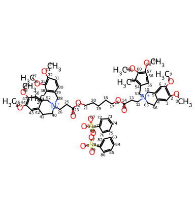 COc1cc2c(cc1OC)C[N+](CCC(=O)OCCCCCOC(=O)CC[N+]1(Cc3ccc(OC)c(OC)c3C)CCc3cc(OC)c(OC)cc3C1)(Cc1ccc(OC)c(OC)c1C)CC2.O=S(=O)([O-])c1ccccc1.O=S(=O)([O-])c1ccccc1